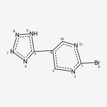 Brc1ncc(-c2nnn[nH]2)cn1